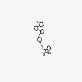 O=c1[nH]c2ccccc2n1CCCN1CCN(Cc2ccccc2-c2ccccc2-c2ccccc2F)CC1